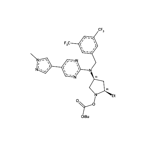 CC[C@@H]1C[C@H](N(Cc2cc(C(F)(F)F)cc(C(F)(F)F)c2)c2ncc(-c3cnn(C)c3)cn2)CN1OC(=O)OCC(C)C